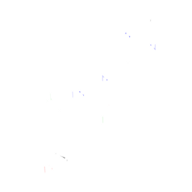 C[C@@](O)(c1cc(Cl)c(NC(=O)NCc2cnc(C(F)(F)F)nc2)c(Cl)c1)C(F)(F)F